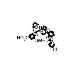 COc1cc(C(=O)O)cc2c1nc(CN1CCN(c3cccc4c3O[C@@](C)(c3ccc(Cl)cn3)O4)[C@H]3CC[C@@H]31)n2C[C@@H]1CCCO1